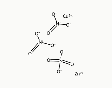 O=S(=O)([O-])[O-].O=[N+]([O-])[O-].O=[N+]([O-])[O-].[Cu+2].[Zn+2]